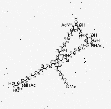 COCCOCCOCCC(=O)NC(COCCC(=O)NCCOCCOCCOC1OC(CO)C(O)CC1NC(C)=O)(COCCC(=O)NCCOCCOCCOC1OC(CO)C(O)C(O)C1NC(C)=O)COCCC(=O)NCCOCCOCCOC1OC(CO)C(O)C(O)C1NC(C)=O